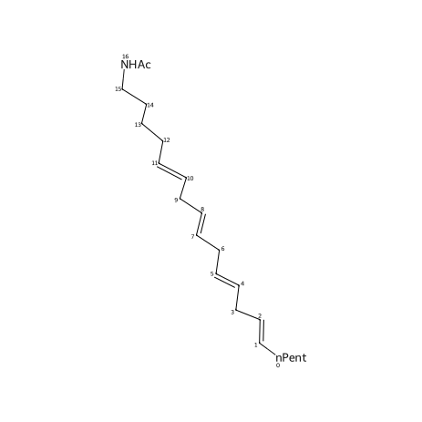 CCCCCC=CCC=CCC=CCC=CCCCCNC(C)=O